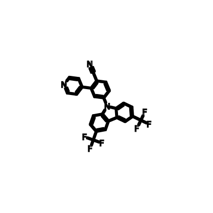 N#Cc1ccc(-n2c3ccc(C(F)(F)F)cc3c3cc(C(F)(F)F)ccc32)cc1-c1ccncc1